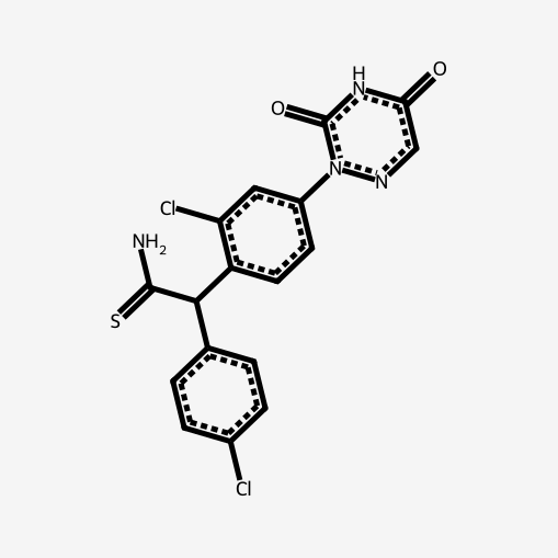 NC(=S)C(c1ccc(Cl)cc1)c1ccc(-n2ncc(=O)[nH]c2=O)cc1Cl